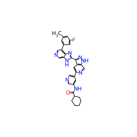 Cc1cc(F)cc(-c2cncc3[nH]c(-c4n[nH]c5cnc(-c6cncc(NC(=O)C7CCCCC7)c6)cc45)nc23)c1